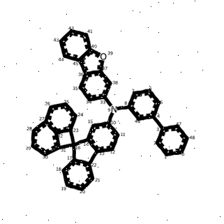 c1ccc(-c2cccc(N(c3ccc4c(c3)C3(c5ccccc5-4)c4cccc5cccc3c45)c3ccc4c(c3)oc3ccccc34)c2)cc1